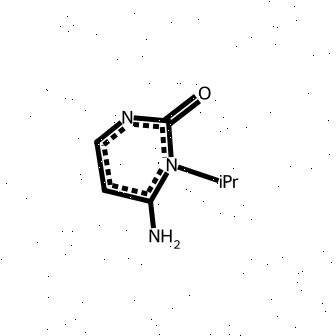 CC(C)n1c(N)ccnc1=O